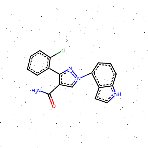 NC(=O)c1cn(-c2cccc3[nH]ccc23)nc1-c1ccccc1Cl